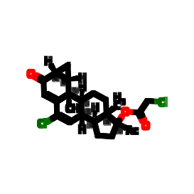 CC(=O)[C@@]1(OC(=O)CCl)CC[C@H]2[C@@H]3C=C(Cl)C4=CC(=O)[C@@H]5C[C@@H]5[C@]4(C)[C@H]3CC[C@@]21C